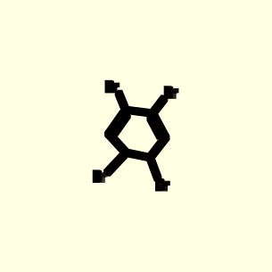 BrC1=CC(Br)C(Br)C=C1Br